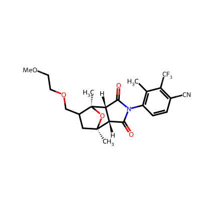 COCCOCC1C[C@@]2(C)O[C@]1(C)[C@@H]1C(=O)N(c3ccc(C#N)c(C(F)(F)F)c3C)C(=O)[C@@H]12